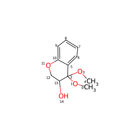 COC1(OC)c2ccccc2OCC1O